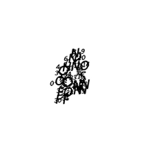 COc1ccc(Cn2nccc2NC(=O)CSc2nnnn2-c2ccccc2OC(F)(F)F)cc1